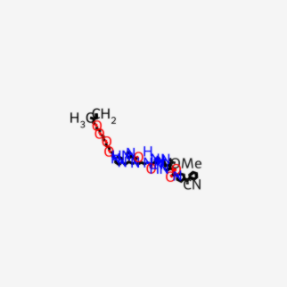 C=CC(C)COCCOCCOCCOCCN1CCN(CCCN(CCCNC(=O)c2ncn(-c3ncc(OC)c4c(C(=O)C(=O)N5CCC(=C(C#N)c6ccccc6)CC5)c[nH]c34)n2)C(=O)c2c[nH]cn2)CC1